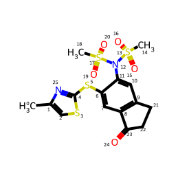 Cc1csc(Sc2cc3c(cc2N(S(C)(=O)=O)S(C)(=O)=O)CCC3=O)n1